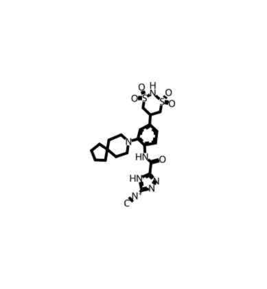 [C-]#[N+]c1nnc(C(=O)Nc2ccc(C3CS(=O)(=O)NS(=O)(=O)C3)cc2N2CCC3(CCCC3)CC2)[nH]1